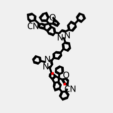 N#Cc1ccccc1-c1ccc2c(c1)C1(c3ccccc3Oc3ccccc31)c1cc(-c3cc(-c4ccc(-c5cccc(-c6nc(-c7ccc(-c8ccccc8)cc7)cc(-c7ccc8c(c7)C7(c9ccccc9Oc9ccccc97)c7cc(-c9ccccc9C#N)ccc7-8)n6)c5)cc4)nc(-c4ccccc4)n3)ccc1-2